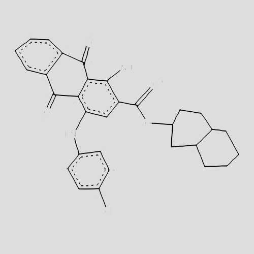 Nc1c(C(=O)OC2CCC3CCCCC3C2)cc(Nc2ccc(Cl)cc2)c2c1C(=O)c1ccccc1C2=O